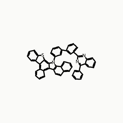 c1ccc(-c2nc(-c3cccc(-c4cccc(-n5c6c7ccccc7ccc6c6c7ccccc7c7c8ccccc8sc7c65)c4)c3)nc3ccccc23)cc1